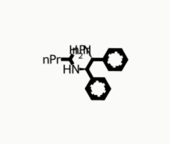 CCCC(CCC)N[C@H](c1ccccc1)[C@H](N)c1ccccc1